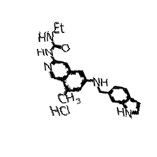 CCNC(=O)Nc1cc2cc(NCc3ccc4cc[nH]c4c3)cc(C)c2cn1.Cl